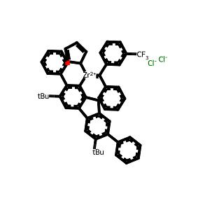 CC(C)(C)c1cc2c(cc1-c1ccccc1)Cc1c-2cc(C(C)(C)C)c(-c2ccccc2)[c]1[Zr+2](=[C](c1ccccc1)c1cccc(C(F)(F)F)c1)[CH]1C=CC=C1.[Cl-].[Cl-]